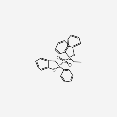 CCS(Sc1ccccc1)(c1ccccc1)S(=O)(=O)S(CC)(Sc1ccccc1)c1ccccc1